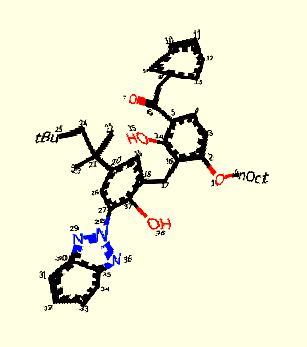 CCCCCCCCOc1ccc(C(=O)c2ccccc2)c(O)c1Cc1cc(C(C)(C)CC(C)(C)C)cc(-n2nc3ccccc3n2)c1O